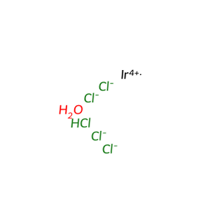 Cl.O.[Cl-].[Cl-].[Cl-].[Cl-].[Ir+4]